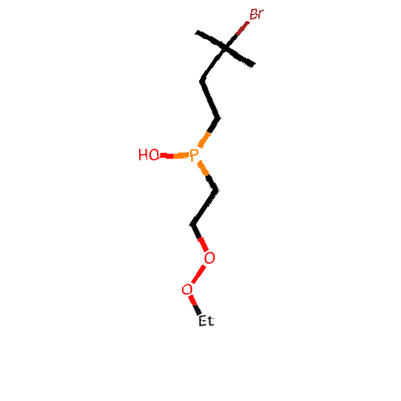 CCOOCCP(O)CCC(C)(C)Br